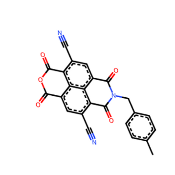 Cc1ccc(CN2C(=O)c3cc(C#N)c4c5c(cc(C#N)c(c35)C2=O)C(=O)OC4=O)cc1